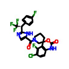 O=C1Nc2ccc(Cl)c(F)c2[C@@]2(CCCN(C(=O)c3cnc([C@@H](c4ccc(F)cc4)C(F)(F)F)[nH]3)C2)O1